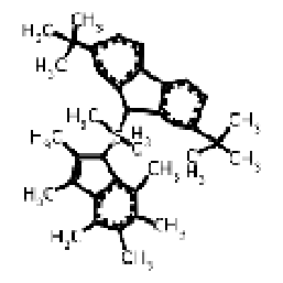 CC1=C(C)C(S(C)(C)C2c3cc(C(C)(C)C)ccc3-c3ccc(C(C)(C)C)cc32)c2c(C)c(C)c(C)c(C)c21